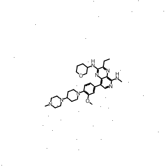 CCc1nc2c(NC)ncc(-c3ccc(N4CCC(N5CCN(C)CC5)CC4)c(OC)c3)c2nc1NC1CCCOC1